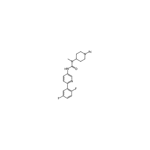 CC(=O)N1CCC(N(C)C(=O)Nc2ccc(-c3cc(F)ccc3F)nc2)CC1